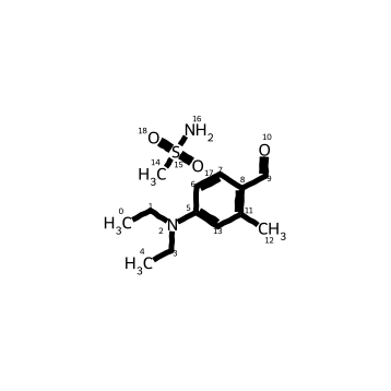 CCN(CC)c1ccc(C=O)c(C)c1.CS(N)(=O)=O